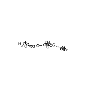 C=C(F)C(=O)OCCOc1ccc(-c2ccc(C#Cc3ccc(OC(=O)c4ccc(OCCCCCCOC(=O)C(C)C)cc4)c(C)c3)cc2)cc1